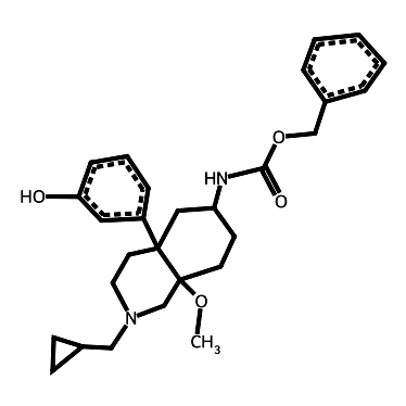 COC12CCC(NC(=O)OCc3ccccc3)CC1(c1cccc(O)c1)CCN(CC1CC1)C2